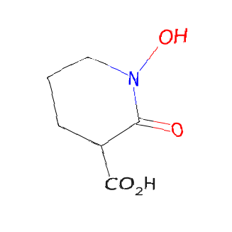 O=C(O)C1CCCN(O)C1=O